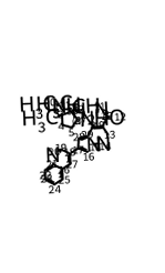 CNC1(C)CC[C@@H](Nc2c(C(N)=O)cnn3cc(-c4cnc5ccccc5c4)cc23)C1(C)C